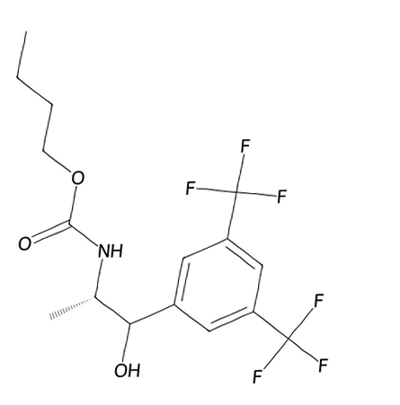 CCCCOC(=O)N[C@@H](C)C(O)c1cc(C(F)(F)F)cc(C(F)(F)F)c1